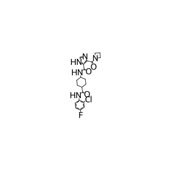 O=C(NC1CCC(C(=O)Nc2ccc(F)cc2Cl)CC1)c1[nH]cnc1C(=O)N1CCC1